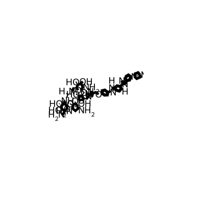 CN1CCN(c2ccc3nc(-c4ccc5nc(-c6ccc(OCc7cn(C[C@H]8OC(O[C@@H]9C(O)[C@H](N)CC(N)[C@H]9O[C@@H]9OC(CN)[C@@H](O)[C@H](O)C9N)[C@@H](O)[C@H]8O[C@H]8O[C@@H](CN)[C@@H](O)C(O)C8N)nn7)cc6)[nH]c5c4)[nH]c3c2)CC1